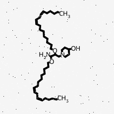 CCCCC/C=C\C/C=C\CCCCCCCCOC(N)C(CN1CCC(O)CC1)OCCCCCCCC/C=C\C/C=C\CCCCC